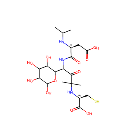 CC(C)N[C@@H](CC(=O)O)C(=O)NC(C(=O)C(C)(C)N[C@@H](CS)C(=O)O)C1OC(O)C(O)C(O)C1O